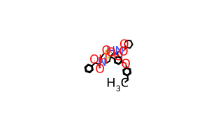 CCc1ccc(Oc2ccc(C3(CC(=O)NOC4CCCCO4)CCN(C(=O)[C@@H](O)c4ccccc4)CCS3(=O)=O)cc2)cc1